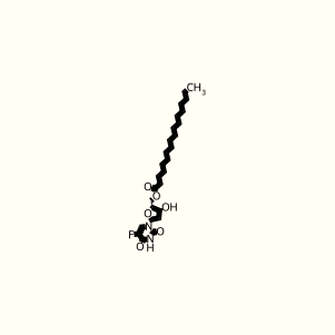 CCCCCCCCCCCCCCCCCC(=O)OC[C@H]1O[C@@H](n2cc(F)c(=O)[nH]c2=O)C[C@@H]1O